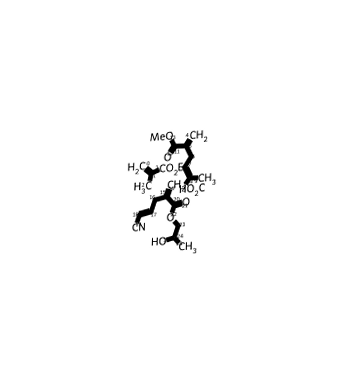 C=C(C)C(=O)OCC.C=C(CC=C(C)C(=O)O)C(=O)OC.C=C(CC=CC#N)C(=O)OCC(C)O